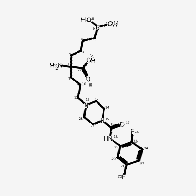 NC(CCCCB(O)O)(CCCN1CCN(C(=O)Nc2cc(F)ccc2F)CC1)C(=O)O